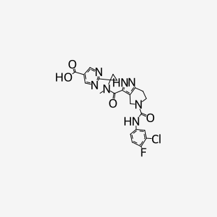 CN(C(=O)c1[nH]nc2c1CN(C(=O)Nc1ccc(F)c(Cl)c1)CC2)C1(c2ncc(C(=O)O)cn2)CC1